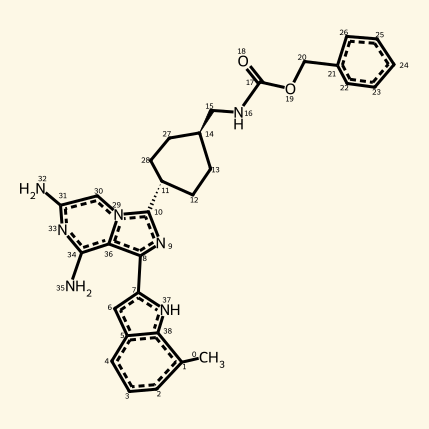 Cc1cccc2cc(-c3nc([C@H]4CC[C@H](CNC(=O)OCc5ccccc5)CC4)n4cc(N)nc(N)c34)[nH]c12